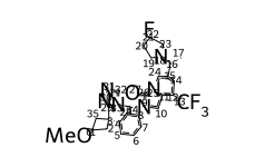 CO[C@H]1C[C@](c2cccc(-n3cc4c(C(F)(F)F)cc([C@@H](C)N5CC[C@@H](F)C5)cn4c3=O)c2)(c2nncn2C)C1